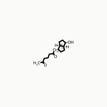 CC(=O)CCCC(=O)O[C@H]1CC[C@H]2[C@@H]1CC[C@@H]2O